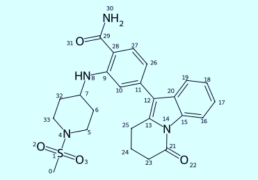 CS(=O)(=O)N1CCC(Nc2cc(-c3c4n(c5ccccc35)C(=O)CCC4)ccc2C(N)=O)CC1